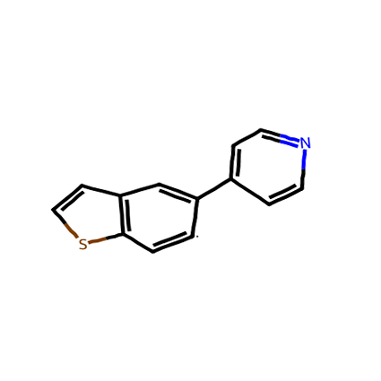 [c]1cc2sccc2cc1-c1ccncc1